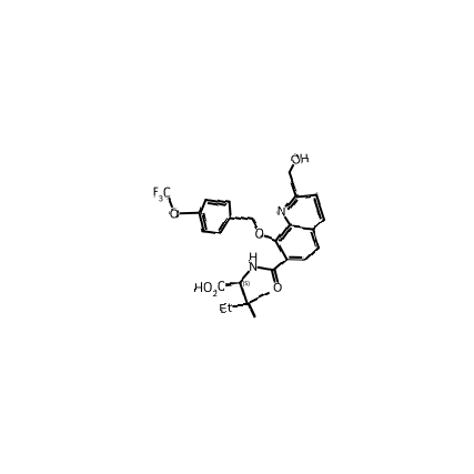 CCC(C)(C)[C@H](NC(=O)c1ccc2ccc(CO)nc2c1OCc1ccc(OC(F)(F)F)cc1)C(=O)O